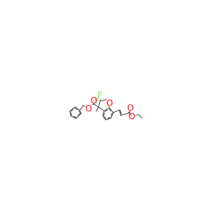 CCOC(=O)/C=C/c1cccc2c1OCC(F)(F)C2(C)C(=O)OCc1ccccc1